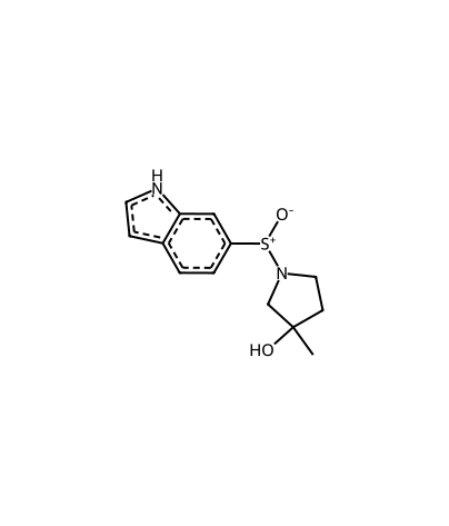 CC1(O)CCN([S+]([O-])c2ccc3cc[nH]c3c2)C1